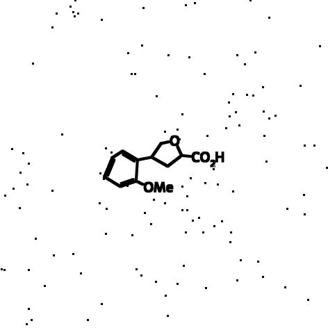 COc1ccccc1C1COC(C(=O)O)C1